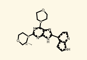 C[C@@H]1COCCN1c1nc(N2CCOCC2)c2nc(-c3ccnc4[nH]ccc34)[nH]c2n1